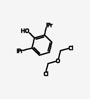 CC(C)c1cccc(C(C)C)c1O.ClCOCCl